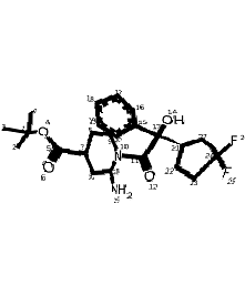 CC(C)(C)OC(=O)C1CCN(C(=O)C(O)(c2ccccc2)[C@@H]2CCC(F)(F)C2)C(N)C1